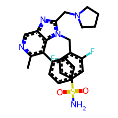 Cc1ncc2nc(CN3CCCC3)n(Cc3c(F)cc(S(N)(=O)=O)cc3F)c2c1-c1ccccc1